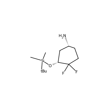 CC(C)(C)[Si](C)(C)O[C@@H]1C[C@H](N)CCC1(F)F